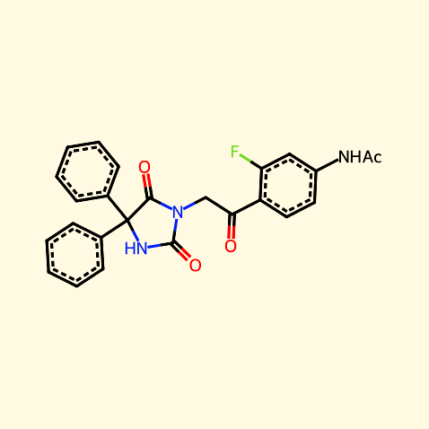 CC(=O)Nc1ccc(C(=O)CN2C(=O)NC(c3ccccc3)(c3ccccc3)C2=O)c(F)c1